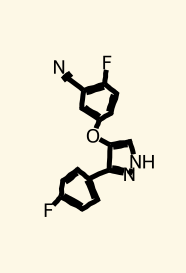 N#Cc1cc(Oc2c[nH]nc2-c2ccc(F)cc2)ccc1F